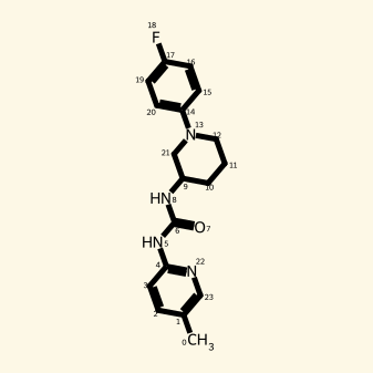 Cc1ccc(NC(=O)NC2CCCN(c3ccc(F)cc3)C2)nc1